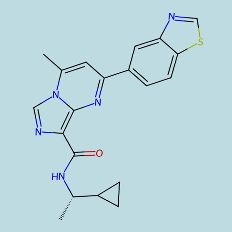 Cc1cc(-c2ccc3scnc3c2)nc2c(C(=O)N[C@@H](C)C3CC3)ncn12